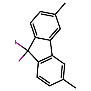 Cc1ccc2c(c1)-c1cc(C)ccc1C2(I)I